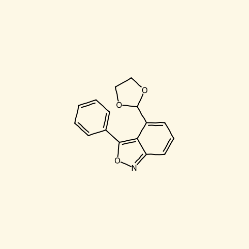 c1ccc(-c2onc3cccc(C4OCCO4)c23)cc1